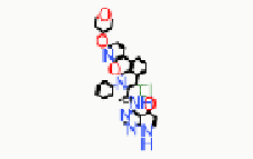 C[C@H](Nc1ncnc2[nH]ccc(=O)c12)c1c(Cl)c2cccc(-c3ccc(OC4CCOCC4)nc3)c2c(=O)n1-c1ccccc1